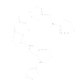 O=C(Nc1cncc(-c2cc3c(-c4nc5c(-c6cccs6)nccc5[nH]4)n[nH]c3cc2F)c1)c1ccccc1